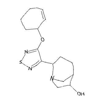 OC1CN2CC1CCC2c1nsnc1OC1C=CCCC1